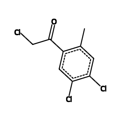 Cc1cc(Cl)c(Cl)cc1C(=O)CCl